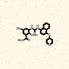 CNC(=O)c1cc(C(C)(C)C)cc(NC(=O)Nc2ccc(Oc3ccncc3)c3ccccc23)c1OC